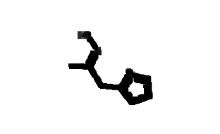 CC(Cc1ccco1)=NO